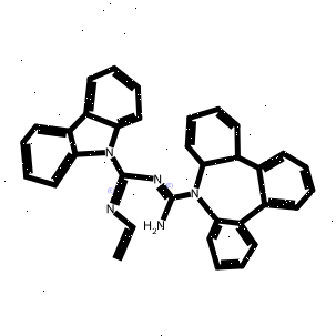 C=C/N=C(\N=C(/N)N1c2ccccc2-c2ccccc2C2C=CC=CC21)n1c2ccccc2c2ccccc21